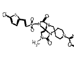 CN1CC23CN(S(=O)(=O)/C=C/c4ccc(Cl)s4)CC(=O)N2CC2(CCN(C4=NCCO4)CC2)N3C1=O